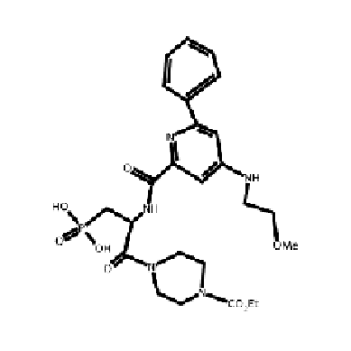 CCOC(=O)N1CCN(C(=O)C(CP(=O)(O)O)NC(=O)c2cc(NCCOC)cc(-c3ccccc3)n2)CC1